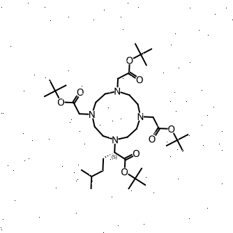 CC(C)CC[C@@H](C(=O)OC(C)(C)C)N1CCN(CC(=O)OC(C)(C)C)CCN(CC(=O)OC(C)(C)C)CCN(CC(=O)OC(C)(C)C)CC1